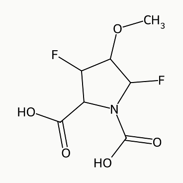 COC1C(F)C(C(=O)O)N(C(=O)O)C1F